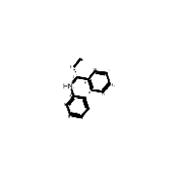 CC[C@@H](Nc1ccccc1)c1ccccc1